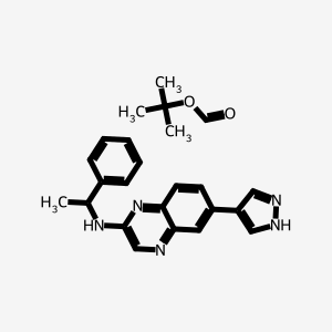 CC(C)(C)OC=O.CC(Nc1cnc2cc(-c3cn[nH]c3)ccc2n1)c1ccccc1